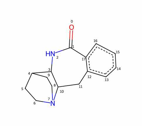 O=C1NC2C3CCN(CC3)C2Cc2ccccc21